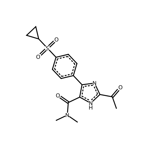 CC(=O)c1nc(-c2ccc(S(=O)(=O)C3CC3)cc2)c(C(=O)N(C)C)[nH]1